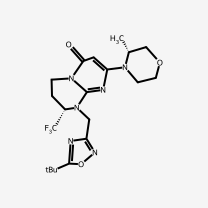 C[C@@H]1COCCN1c1cc(=O)n2c(n1)N(Cc1noc(C(C)(C)C)n1)[C@H](C(F)(F)F)CC2